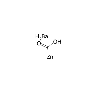 O=[C](O)[Zn].[BaH2]